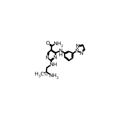 C[C@H](N)CNc1ncc(C(N)=O)c(Nc2cccc(-n3nccn3)c2)n1